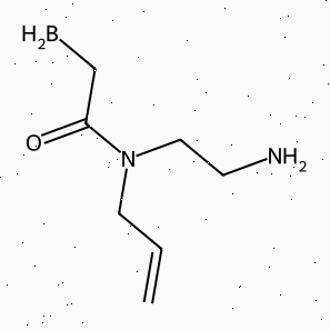 BCC(=O)N(CC=C)CCN